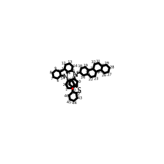 c1ccc(-n2c3ccccc3c3cccc(N(c4ccc5c(ccc6c7ccccc7ccc56)c4)c4ccc5c(c4)sc4ccccc45)c32)cc1